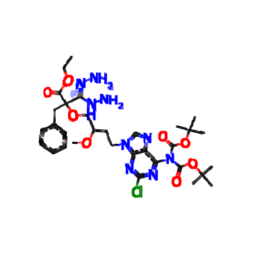 CCOC(=O)C(Cc1ccccc1)(OCC(CCn1cnc2c(N(C(=O)OC(C)(C)C)C(=O)OC(C)(C)C)nc(Cl)nc21)OC)/C(=N/N)NN